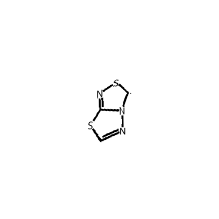 [CH]1SN=C2SC=NN12